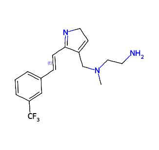 CN(CCN)CC1=CCN=C1/C=C/c1cccc(C(F)(F)F)c1